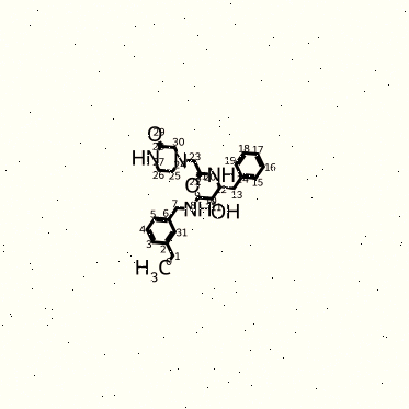 CCc1cccc(CNC[C@@H](O)[C@H](Cc2ccccc2)NC(=O)CN2CCNC(=O)C2)c1